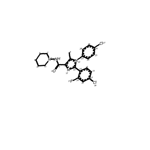 Cc1c(C(=O)NN2CCCCC2)nc(-c2ccc(Cl)cc2F)n1-c1ccc(Cl)cc1